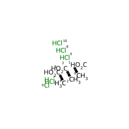 CC(=O)O.CC(=O)O.CC(=O)O.Cl.Cl.Cl.Cl.Cl